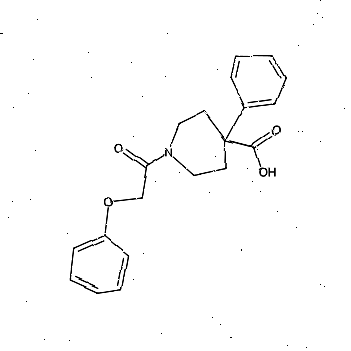 O=C(COc1ccccc1)N1CCC(C(=O)O)(c2ccccc2)CC1